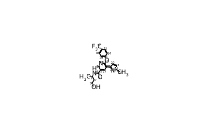 C[C@H](CCO)NC(=O)c1cnc(Oc2ccc(C(F)(F)F)cc2)c(-c2ccn(C)n2)c1